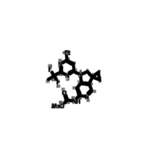 CCc1cc(N2CC3(CC3)c3cnc(NC(=O)OC)cc32)nc(C(C)(F)F)n1